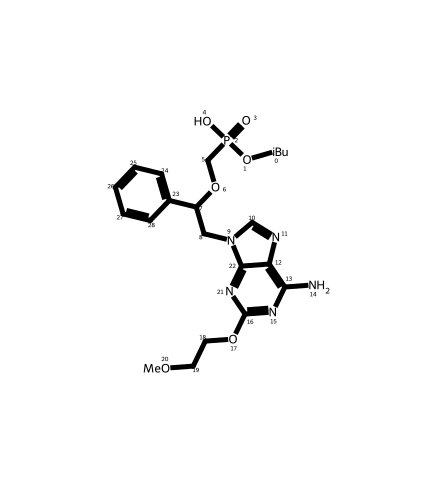 CCC(C)OP(=O)(O)COC(Cn1cnc2c(N)nc(OCCOC)nc21)c1ccccc1